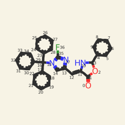 O=C1OC(c2ccccc2)NC1=Cc1cn(C(c2ccccc2)(c2ccccc2)c2ccccc2)c(F)n1